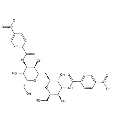 O=C(N[C@@H]1[C@@H](O)[C@@H](CO)O[C@@H](S[C@@H]2O[C@H](CO)[C@H](O)[C@@H](NC(=O)c3ccc([N+](=O)[O-])cc3)[C@H]2O)[C@@H]1O)c1ccc([N+](=O)[O-])cc1